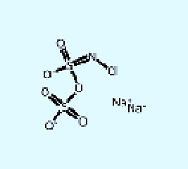 O=S(=O)([O-])OS(=O)([O-])=NCl.[Na+].[Na+]